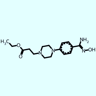 CCOC(=O)CCN1CCN(c2ccc(/C(N)=N/O)cc2)CC1